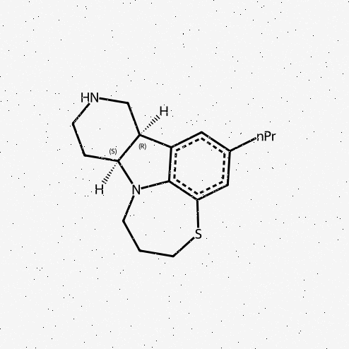 CCCc1cc2c3c(c1)[C@@H]1CNCC[C@@H]1N3CCCS2